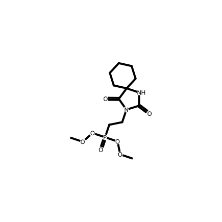 COOP(=O)(CCN1C(=O)NC2(CCCCC2)C1=O)OOC